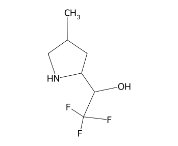 CC1CNC(C(O)C(F)(F)F)C1